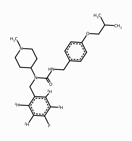 [2H]c1c([2H])c(CN(C(=O)NCc2ccc(OCC(C)C)cc2)C2CCN(C)CC2)c([2H])c([2H])c1F